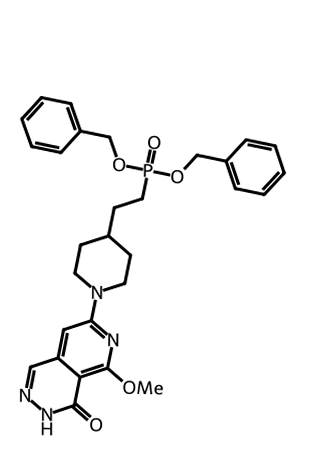 COc1nc(N2CCC(CCP(=O)(OCc3ccccc3)OCc3ccccc3)CC2)cc2cn[nH]c(=O)c12